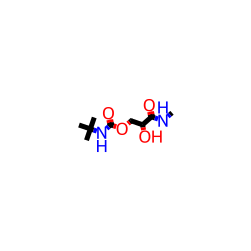 CNC(=O)C(O)COC(=O)NC(C)(C)C